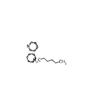 CCCCCC.c1ccccc1.c1ccncc1